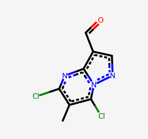 Cc1c(Cl)nc2c(C=O)cnn2c1Cl